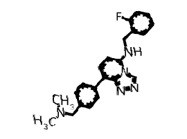 CN(C)Cc1ccc(-c2ccc(NCc3ccccc3F)n3cnnc23)cc1